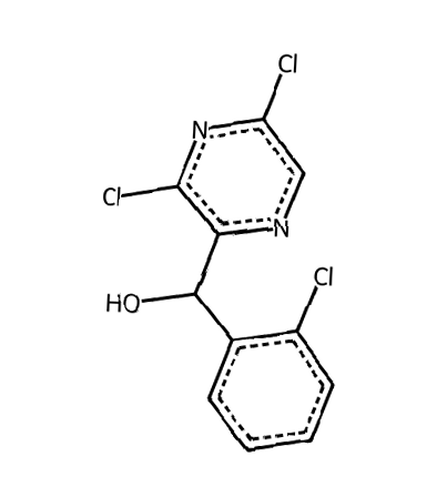 OC(c1ccccc1Cl)c1ncc(Cl)nc1Cl